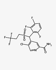 NC(=O)c1cc(C(c2c(F)ccc(F)c2F)S(=O)(=O)CCC(F)(F)F)c(Cl)cn1